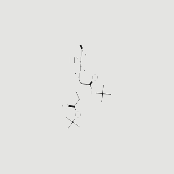 C=NNN=N[C@@H](CCC(=O)OC(C)(C)C)C(=O)OC(C)(C)C